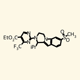 CCOC(=O)c1cnc(N2CCn3c(cc4ccc(S(C)(=O)=O)cc43)C2C(C)C)nc1C(F)(F)F